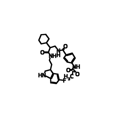 CS(=O)(=O)Nc1ccc(C(=O)NCC(C(=O)NCCC2CNc3ccc(F)cc32)C2CCCCC2)cc1